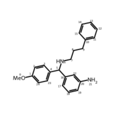 COc1ccc(C(NCCCc2ccccc2)c2cccc(N)c2)cc1